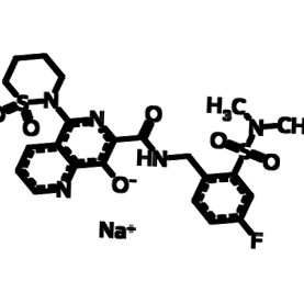 CN(C)S(=O)(=O)c1cc(F)ccc1CNC(=O)c1nc(N2CCCCS2(=O)=O)c2cccnc2c1[O-].[Na+]